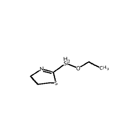 CCO[SiH2]C1=NCCS1